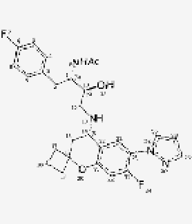 CC(=O)N[C@@H](Cc1ccc(F)cc1)[C@@H](O)CN[C@H]1CC2(CCC2)Oc2cc(F)c(-n3cccn3)cc21